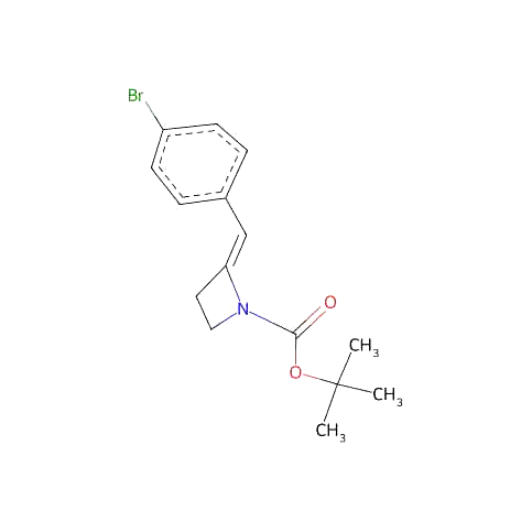 CC(C)(C)OC(=O)N1CCC1=Cc1ccc(Br)cc1